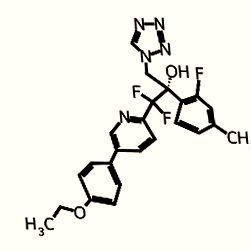 CCOc1ccc(-c2ccc(C(F)(F)[C@@](O)(Cn3cnnn3)c3ccc(C)cc3F)nc2)cc1